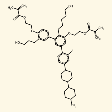 C=C(C)C(=O)OCCOc1ccc(-c2cc(-c3ccc(C4CCC(C5CCC(C)CC5)CC4)cc3F)cc(OCCOC(=O)C(=C)C)c2CCCCCO)cc1CCCO